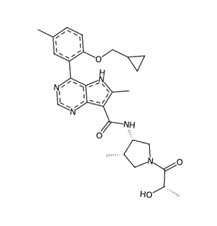 Cc1ccc(OCC2CC2)c(-c2ncnc3c(C(=O)N[C@@H]4CN(C(=O)[C@H](C)O)C[C@@H]4C)c(C)[nH]c23)c1